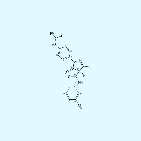 CC1=NN(c2ccc(OC(F)F)cc2)C(=O)C1(C)C(=O)Nc1cccc(Cl)c1